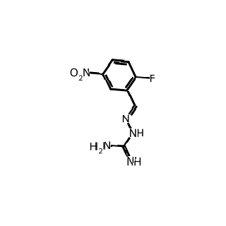 N=C(N)NN=Cc1cc([N+](=O)[O-])ccc1F